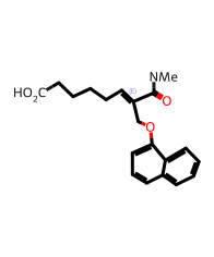 CNC(=O)/C(=C/CCCCC(=O)O)COc1cccc2ccccc12